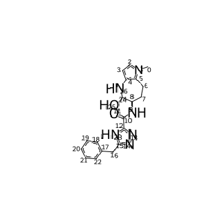 Cn1ccc2c1CCC(NC(=O)c1nnc(Cc3ccccc3)[nH]1)C(O)N2